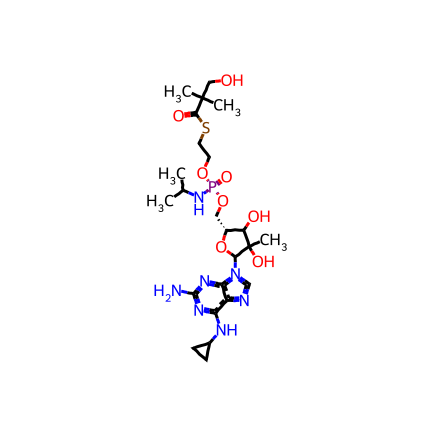 CC(C)NP(=O)(OCCSC(=O)C(C)(C)CO)OC[C@H]1OC(n2cnc3c(NC4CC4)nc(N)nc32)C(C)(O)C1O